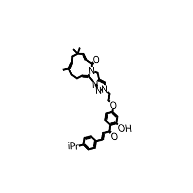 C/C1=C\CC(C)(C)/C=C/C(=O)N(Cc2cn(CCOc3ccc(C(=O)/C=C/c4ccc(C(C)C)cc4)c(O)c3)nn2)/C(C)=C/CC1